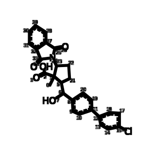 CC1(C(=O)O)C(C(O)c2ccc(-c3ccc(Cl)cc3)cc2)CCC1N1C(=O)c2ccccc2C1=O